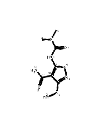 CCCSc1nsc(NC(=O)N(C)C)c1C(N)=O